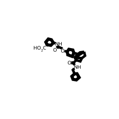 O=C(COc1ccc(C23CC4CC(CC(C(=O)NCc5ccccc5)(C4)C2)C3)cc1)Nc1cccc(C(=O)O)c1